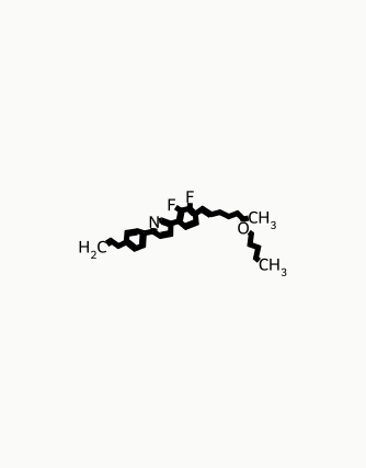 C=CCc1ccc(-c2ccc(-c3ccc(C=CCCCC(C)OCCCCC)c(F)c3F)cn2)cc1